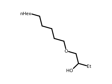 CCCCCCCCCCCOCC(O)CC